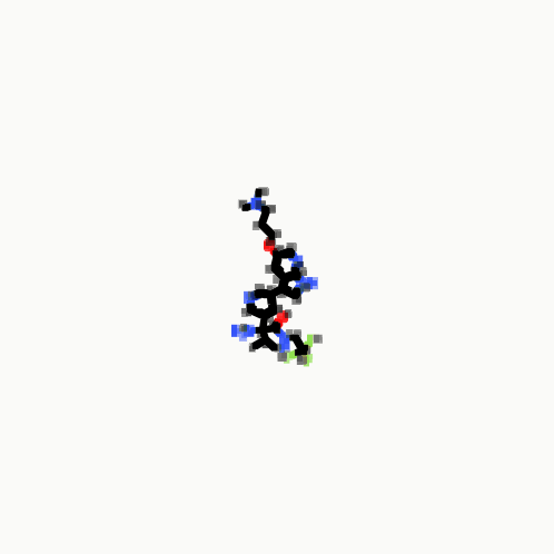 CC(C)C(N)(C(=O)NCC(F)(F)F)c1cncc(-c2c[nH]c3ncc(OCCCN(C)C)cc23)c1